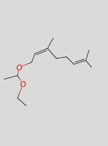 CCOC(C)OC/C=C(/C)CCC=C(C)C